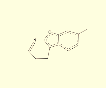 CC1=Nc2oc3cc(C)ccc3c2CC1